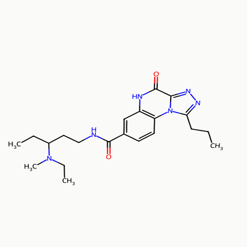 CCCc1nnc2c(=O)[nH]c3cc(C(=O)NCCC(CC)N(C)CC)ccc3n12